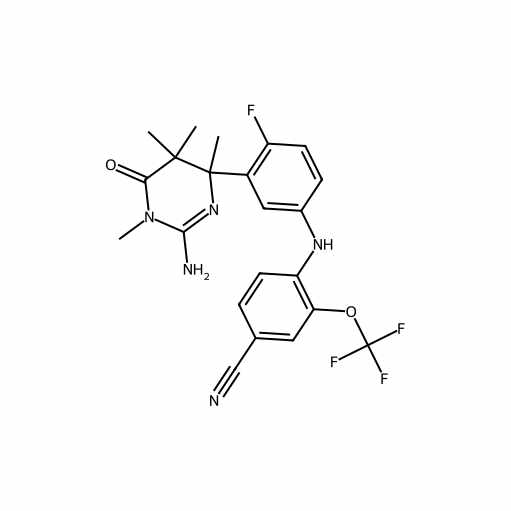 CN1C(=O)C(C)(C)C(C)(c2cc(Nc3ccc(C#N)cc3OC(F)(F)F)ccc2F)N=C1N